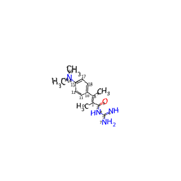 C/C(C(=O)NC(=N)N)=C(/C)c1ccc(N(C)C)cc1